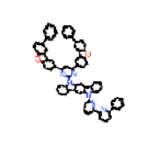 c1ccc(-c2ccc3oc4ccc(-c5cc(-c6ccc7oc8ccc(-c9ccccc9)cc8c7c6)nc(-n6c7ccccc7c7cc8c(cc76)c6ccccc6n8-c6cccc(-c7cccc(-c8ccccc8)n7)n6)n5)cc4c3c2)cc1